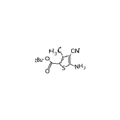 Cc1c(C(=O)OC(C)(C)C)sc(N)c1C#N